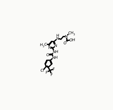 Cc1cc(NCCN(C)C(=O)O)nc(NC(=O)Nc2ccc(Cl)c(C(F)(F)F)c2)n1